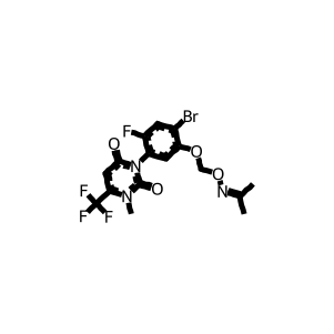 CC(C)=NOCOc1cc(-n2c(=O)cc(C(F)(F)F)n(C)c2=O)c(F)cc1Br